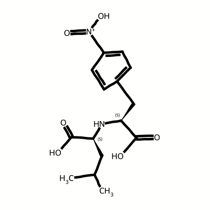 CC(C)C[C@H](N[C@@H](Cc1ccc([N+](=O)O)cc1)C(=O)O)C(=O)O